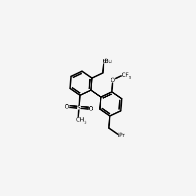 CC(C)Cc1ccc(OC(F)(F)F)c(-c2c(CC(C)(C)C)cccc2S(C)(=O)=O)c1